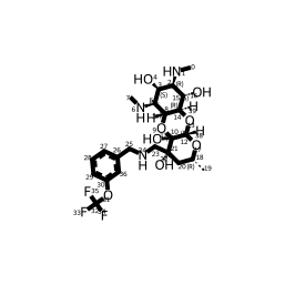 CN[C@@H]1[C@H](O)[C@H](NC)[C@H]2O[C@]3(O)[C@H](O[C@@H]2[C@H]1O)O[C@H](C)C[C@@]3(O)CNCc1cccc(OC(F)(F)F)c1